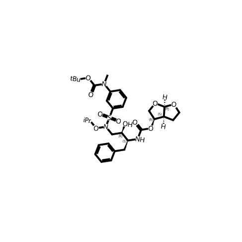 CC(C)ON(C[C@@H](O)[C@H](Cc1ccccc1)NC(=O)O[C@H]1CO[C@H]2OCC[C@H]21)S(=O)(=O)c1cccc(N(C)C(=O)OC(C)(C)C)c1